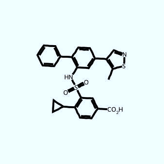 Cc1sncc1-c1ccc(-c2ccccc2)c(NS(=O)(=O)c2cc(C(=O)O)ccc2C2CC2)c1